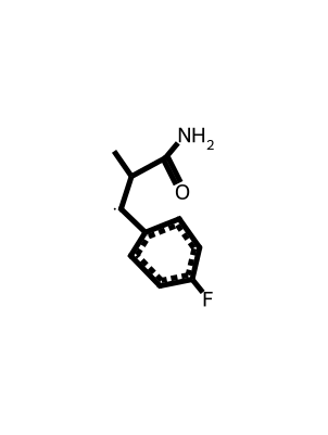 CC([CH]c1ccc(F)cc1)C(N)=O